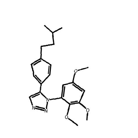 COc1cc(OC)c(OC)c(-n2nncc2-c2ccc(CCC(C)C)cc2)c1